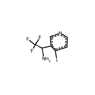 NC(c1cnccc1I)C(F)(F)F